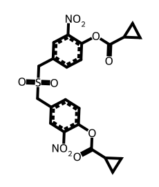 O=C(Oc1ccc(CS(=O)(=O)Cc2ccc(OC(=O)C3CC3)c([N+](=O)[O-])c2)cc1[N+](=O)[O-])C1CC1